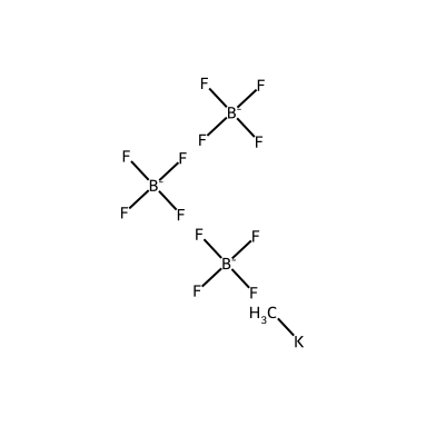 F[B-](F)(F)F.F[B-](F)(F)F.F[B-](F)(F)F.[CH3][K]